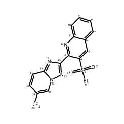 CCS(=O)(=O)c1cc2ccccc2nc1-c1nc2ccc(C(F)(F)F)cn2n1